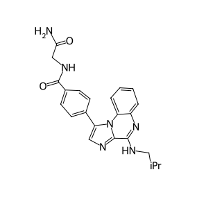 CC(C)CNc1nc2ccccc2n2c(-c3ccc(C(=O)NCC(N)=O)cc3)cnc12